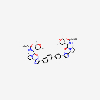 COC(=O)NC(C(=O)N1[C@@H](C)CC[C@H]1c1ncc(-c2ccc(-c3ccc4cc(-c5cnc([C@@H]6CC[C@H](C)N6C(=O)C(NC(=O)OC)[C@H]6C[C@@H](C)O[C@@H](C)C6)[nH]5)ccc4c3)cc2)[nH]1)[C@H]1C[C@@H](C)O[C@@H](C)C1